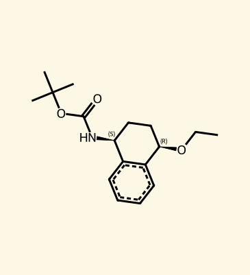 CCO[C@@H]1CC[C@H](NC(=O)OC(C)(C)C)c2ccccc21